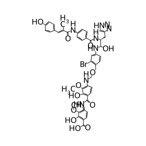 COc1c(NC(=O)c2ccc(NCOCc3ccc(NC(O)[C@H](Cc4c[nH]nn4)NC(=O)c4ccc(NC(=O)/C(C)=C/c5ccc(O)cc5)cc4)cc3Br)c(OC)c2O)ccc(C(=O)O)c1O